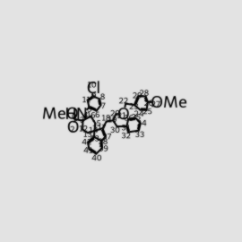 COC(=O)C1(Nc2cccc(Cl)c2)CCC2(CC1)C(CC(COCc1ccc(OC)cc1)Cc1ccccc1)=Cc1ccccc12